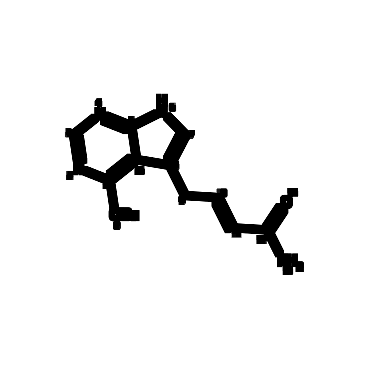 CC(C)COc1ncnc2[nH]cc(CC=CC(N)=O)c12